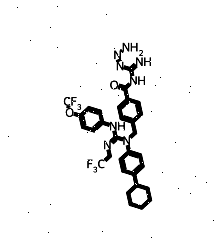 N=C(/N=N\N)NC(=O)c1ccc(CN(/C(=N\CC(F)(F)F)Nc2ccc(OC(F)(F)F)cc2)c2ccc(C3CCCCC3)cc2)cc1